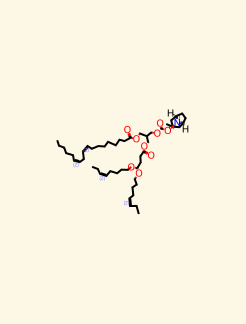 CC/C=C\CCCCOC(CCC(=O)OCC(COC(=O)CCCCCCC/C=C\C/C=C\CCCCC)COC(=O)O[C@@H]1C[C@H]2CC[C@@H](C1)N2CC)OCCCC/C=C\CC